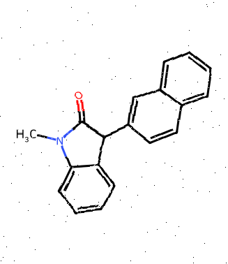 CN1C(=O)C(c2ccc3ccccc3c2)c2ccccc21